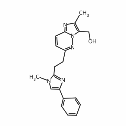 Cc1nc2ccc(CCc3nc(-c4ccccc4)cn3C)nn2c1CO